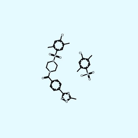 Cc1cc(S(=O)(=O)Cl)c(C)cc1Cl.Cc1nc(-c2ccc(C(=O)N3CCN(S(=O)(=O)c4cc(C)c(Cl)cc4C)CC3)cc2)no1